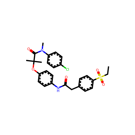 CCS(=O)(=O)c1ccc(CC(=O)Nc2ccc(OC(C)(C)C(=O)N(C)c3ccc(Cl)cc3)cc2)cc1